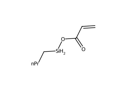 C=CC(=O)O[SiH2]CCCC